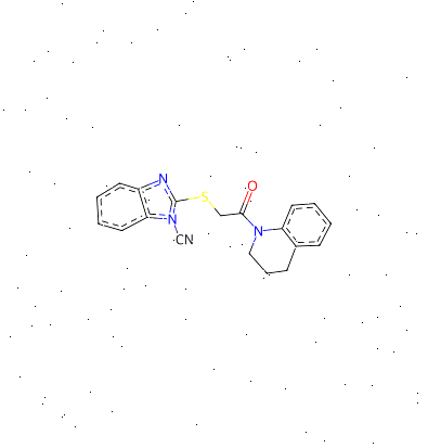 N#Cn1c(SCC(=O)N2CCCc3ccccc32)nc2ccccc21